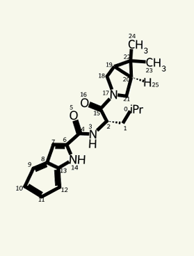 CC(C)C[C@H](NC(=O)c1cc2ccccc2[nH]1)C(=O)N1CC2[C@H](C1)C2(C)C